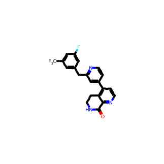 O=C1NCCc2c(-c3ccnc(Cc4cc(F)cc(C(F)(F)F)c4)c3)ccnc21